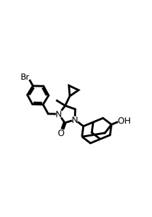 CC1(C2CC2)CN(C2C3CC4CC2CC(O)(C4)C3)C(=O)N1Cc1ccc(Br)cc1